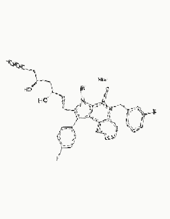 CC(C)n1c(C=C[C@H](O)C[C@@H](O)CC(=O)[O-])c(-c2ccc(F)cc2)c2c3ccccc3n(Cc3cccc(F)c3)c(=O)c21.[Na+]